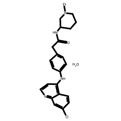 CCN1CCCC(NC(=O)Cc2ccc(Nc3ccnc4cc(Cl)ccc34)cc2)C1.O